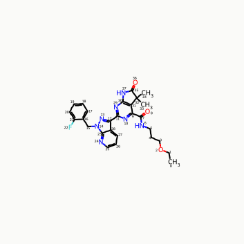 CCOCCCNC(=O)c1nc(-c2nn(Cc3ccccc3F)c3ncccc23)nc2c1C(C)(C)C(=O)N2